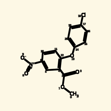 COC(=O)c1cc([N+](=O)[O-])ccc1Oc1ccc(Cl)cc1